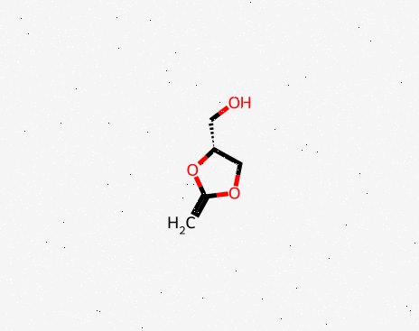 C=C1OC[C@@H](CO)O1